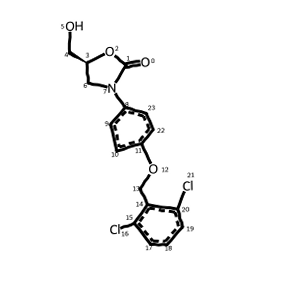 O=C1O[C@H](CO)CN1c1ccc(OCc2c(Cl)cccc2Cl)cc1